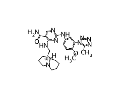 COc1ccc(Nc2ncc(C(N)=O)c(NC[C@@H]3CCCN4CCCC[C@H]34)n2)cc1-n1nnnc1C